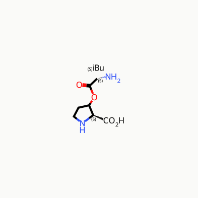 CC[C@H](C)[C@H](N)C(=O)OC1CCN[C@@H]1C(=O)O